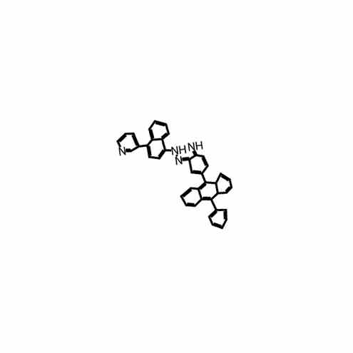 N=C1C=CC(C2=c3ccccc3=C(c3ccccc3)C3C=CC=CC23)=C/C1=N/Nc1ccc(-c2cccnc2)c2ccccc12